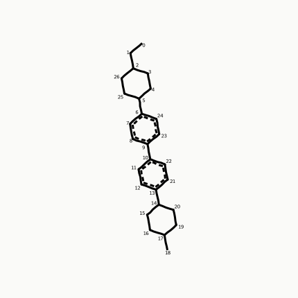 CCC1CCC(c2ccc(-c3ccc(C4CCC(C)CC4)cc3)cc2)CC1